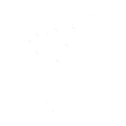 CC(O)CNc1nc(N(C)Cc2ccc(O)c(O)c2)c2nnn(C(C)C)c2n1